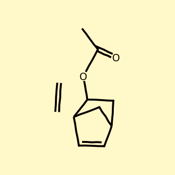 C=C.CC(=O)OC1CC2C=CC1C2